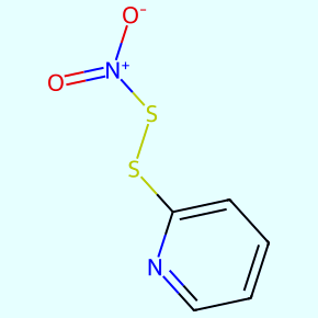 O=[N+]([O-])SSc1ccccn1